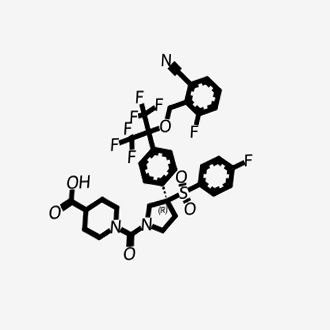 N#Cc1cccc(F)c1COC(c1ccc([C@]2(S(=O)(=O)c3ccc(F)cc3)CCN(C(=O)N3CCC(C(=O)O)CC3)C2)cc1)(C(F)(F)F)C(F)(F)F